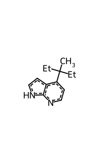 CCC(C)(CC)c1ccnc2[nH]ccc12